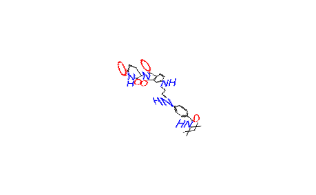 CC1(C)CC(C)(C)C1NC(=O)c1ccc(NCCCCNc2ccc3c(c2)C(=O)N(C2CCC(=O)NC2=O)C3=O)cc1